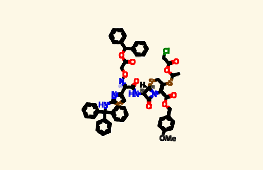 COc1ccc(COC(=O)C2=C(SC(C)OC(=O)CCl)CS[C@@H]3[C@H](NC(=O)/C(=N\OCC(=O)OC(c4ccccc4)c4ccccc4)c4csc(NC(c5ccccc5)(c5ccccc5)c5ccccc5)n4)C(=O)N23)cc1